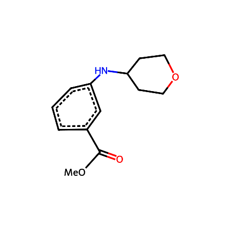 COC(=O)c1cccc(NC2CCOCC2)c1